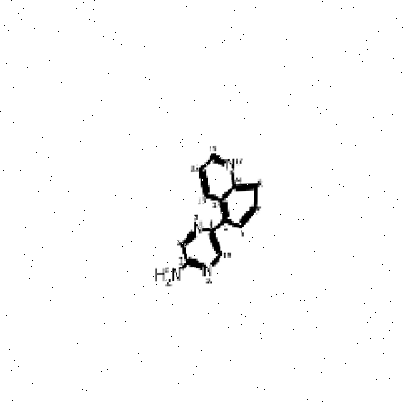 Nc1[c]nc(-c2cccc3ncccc23)cn1